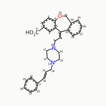 O=C(O)c1ccc2c(c1)C(=CCN1CCN(CC=Cc3ccccc3)CC1)c1ccccc1CO2